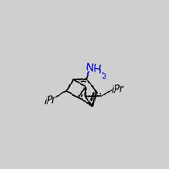 CC(C)C1C2=[C]C(N)=C3C1=C2C3C(C)C